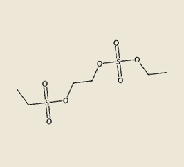 CCOS(=O)(=O)OCCOS(=O)(=O)CC